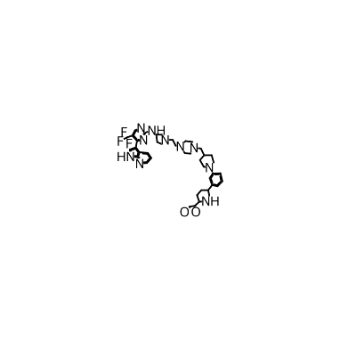 O=CC(=O)C1CCC(c2cccc(N3CCC(CN4CCN(CCN5CCC(Nc6ncc(C(F)(F)F)c(-c7c[nH]c8ncccc78)n6)C5)CC4)CC3)c2)CN1